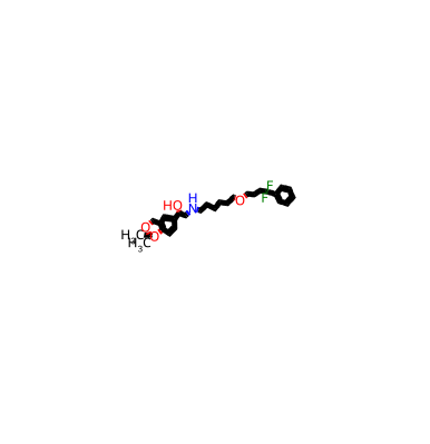 CC1(C)OCc2cc(C(O)CNCCCCCCOCCCC(F)(F)c3ccccc3)ccc2O1